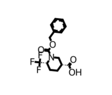 O=C(O)[C@@H]1CC[C@H](C(F)(F)F)N(C(=O)OCc2ccccc2)C1